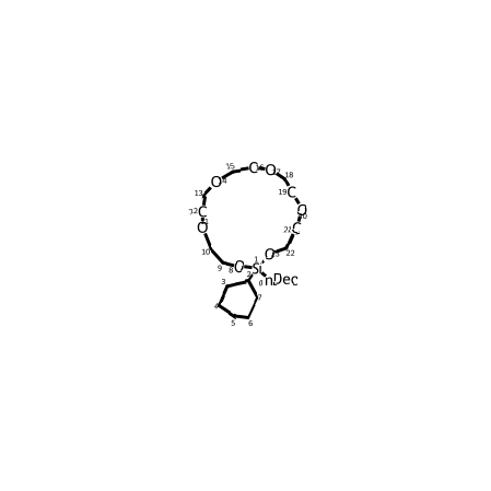 CCCCCCCCCC[Si]1(C2CCCCC2)OCCOCCOCCOCCOCCO1